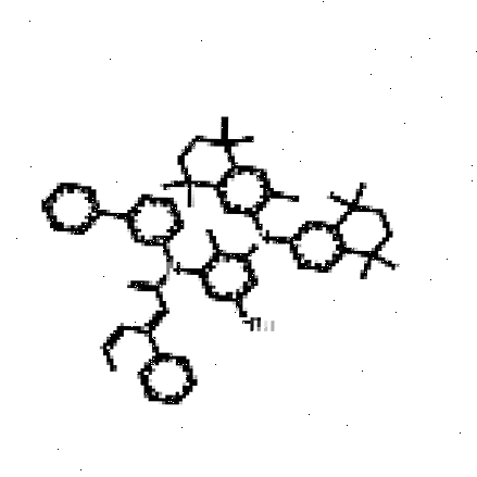 C=C(/C=C(\C=C/C)c1ccccc1)N(c1cccc(-c2ccccc2)c1)c1cc(C(C)(C)C)cc(N(c2ccc3c(c2)C(C)(C)CCC3(C)C)c2cc3c(cc2C)C(C)(C)CCC3(C)C)c1C